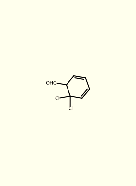 O=CC1C=CC=CC1(Cl)Cl